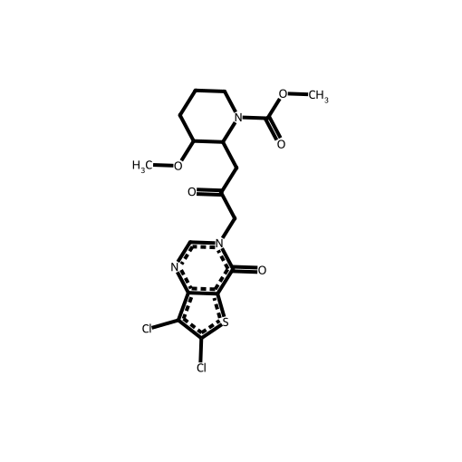 COC(=O)N1CCCC(OC)C1CC(=O)Cn1cnc2c(Cl)c(Cl)sc2c1=O